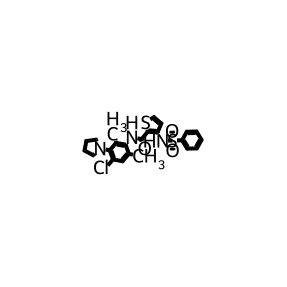 Cc1cc(Cl)c(N2CCCC2)c(C)c1NC(=O)c1sccc1NS(=O)(=O)c1ccccc1